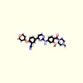 COc1cc(Nc2nccc(-c3ccc(OC4CCOCC4)c(C#N)c3)n2)ccc1C(=O)N1CCN(C)CC1